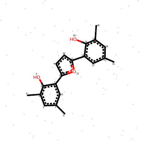 Cc1cc(C)c(O)c(-c2ccc(-c3cc(C)cc(C)c3O)o2)c1